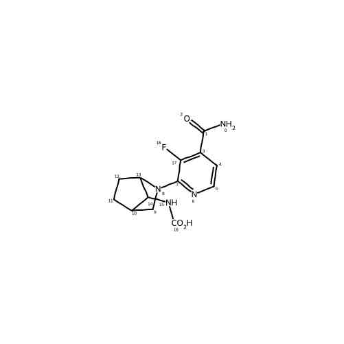 NC(=O)c1ccnc(N2CC3CCC2C3NC(=O)O)c1F